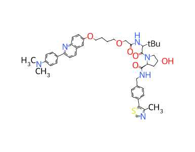 Cc1ncsc1-c1ccc(CNC(=O)[C@@H]2C[C@@H](O)CN2C(=O)C(NC(=O)COCCCCOc2ccc3nc(-c4ccc(N(C)C)cc4)ccc3c2)C(C)(C)C)cc1